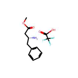 COC(=O)C[C@H](N)Cc1ccccc1.O=C(O)C(F)(F)F